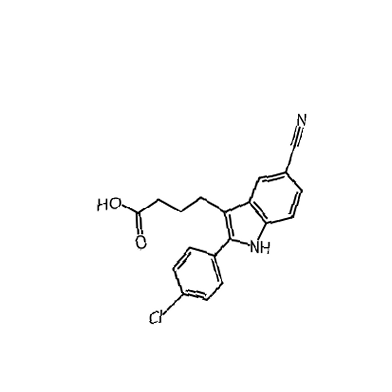 N#Cc1ccc2[nH]c(-c3ccc(Cl)cc3)c(CCCC(=O)O)c2c1